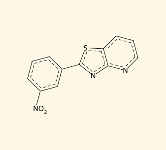 O=[N+]([O-])c1cccc(-c2nc3ncccc3s2)c1